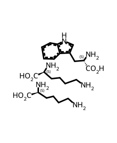 NCCCC[C@H](N)C(=O)O.NCCCC[C@H](N)C(=O)O.N[C@@H](Cc1c[nH]c2ccccc12)C(=O)O